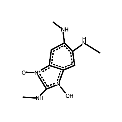 CNc1cc2c(cc1NC)[n+]([O-])c(NC)n2O